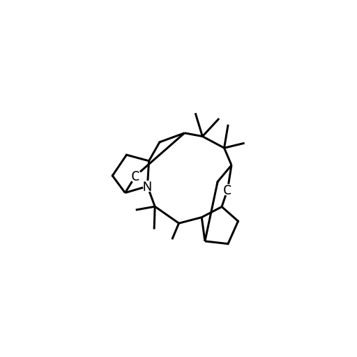 CC1C2C3CCC2CC(C3)C(C)(C)C(C)(C)C2CC3CCC(C2)N3C1(C)C